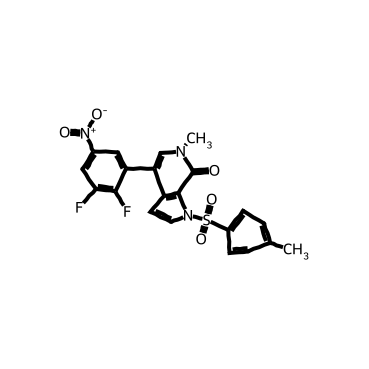 Cc1ccc(S(=O)(=O)n2ccc3c(-c4cc([N+](=O)[O-])cc(F)c4F)cn(C)c(=O)c32)cc1